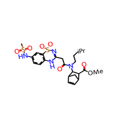 COC(=O)C1C2C=CC(C2)C1N(CCC(C)C)C(=O)CC1=NS(=O)(=O)c2cc(NS(C)(=O)=O)ccc2N1